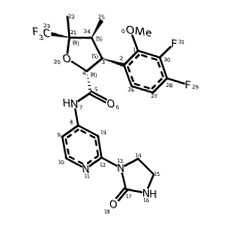 COc1c([C@H]2[C@H](C(=O)Nc3ccnc(N4CCNC4=O)c3)O[C@@](C)(C(F)(F)F)[C@H]2C)ccc(F)c1F